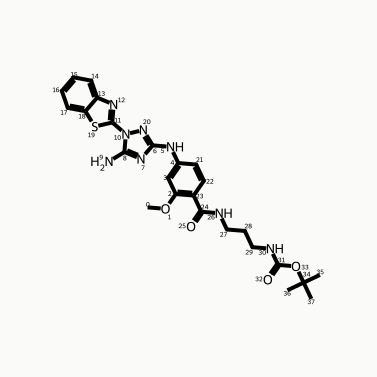 COc1cc(Nc2nc(N)n(-c3nc4ccccc4s3)n2)ccc1C(=O)NCCCNC(=O)OC(C)(C)C